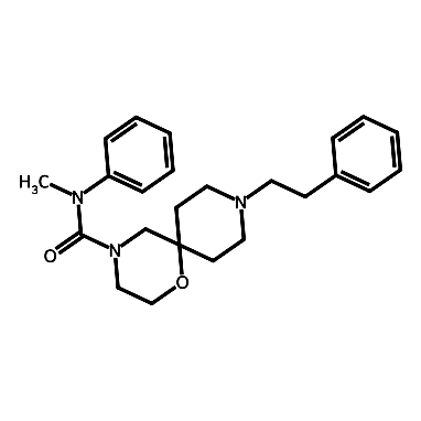 CN(C(=O)N1CCOC2(CCN(CCc3ccccc3)CC2)C1)c1ccccc1